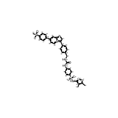 Cc1noc(NS(=O)(=O)c2ccc(NC(=O)NCc3ccc(-c4cnc5cc(-c6ccc(S(C)(=O)=O)cc6)ccn45)cc3)cc2)c1C